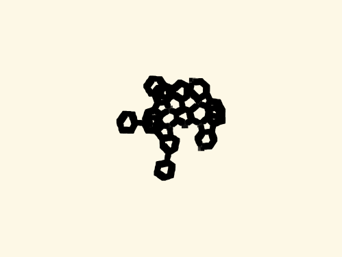 c1ccc(-c2ccc3c(c2)c2cc(-c4ccccc4)ccc2n3-c2nc(-n3c4ccccc4c4ccncc43)c(-n3c4ccccc4c4ccncc43)c(-c3cccc4c3sc3ccccc34)c2-n2c3ccccc3c3ccncc32)cc1